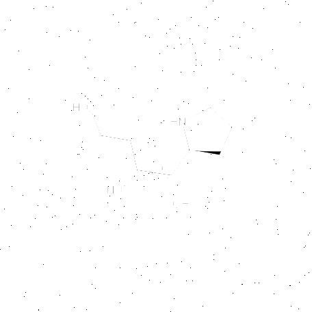 CCCC(C)[C@@H](O)[C@@H]1CCCN1